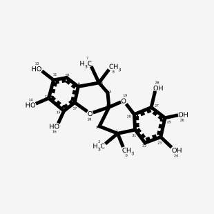 CC1(C)CC2(CC(C)(C)c3cc(O)c(O)c(O)c3O2)Oc2c1cc(O)c(O)c2O